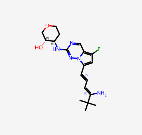 CC(C)(C)/C(N)=C/C=C/c1cc(F)c2cnc(N[C@@H]3CCOC[C@H]3O)nn12